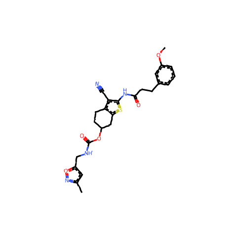 COc1cccc(CCC(=O)Nc2sc3c(c2C#N)CCC(OC(=O)NCc2cc(C)no2)C3)c1